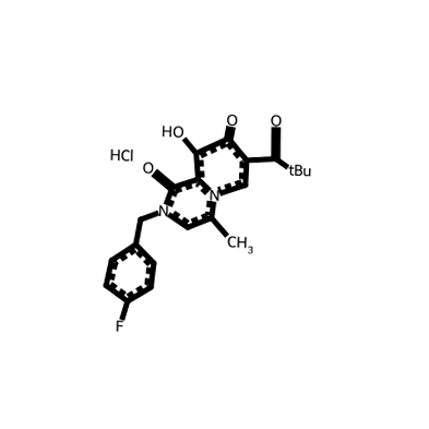 Cc1cn(Cc2ccc(F)cc2)c(=O)c2c(O)c(=O)c(C(=O)C(C)(C)C)cn12.Cl